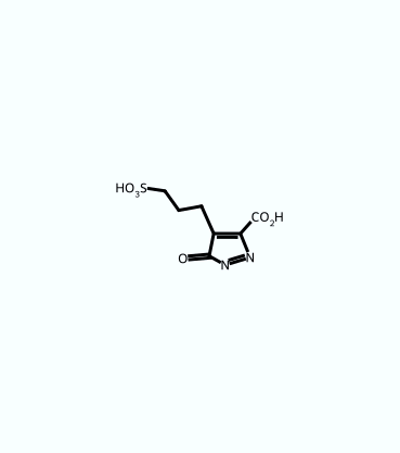 O=C(O)C1=C(CCCS(=O)(=O)O)C(=O)N=N1